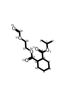 CC(C)OC(=O)C1CCCCC1C(=O)OCCOC=O